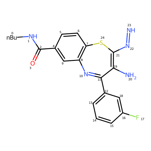 CCCCNC(=O)c1ccc2c(c1)N=C(c1cccc(F)c1)C(N)=C(N=N)S2